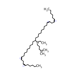 CCCCC/C=C\C/C=C\CCCCCCCCC(CCCCCCCC/C=C\C/C=C\CCCCC)N(CC)CCCN(C)C